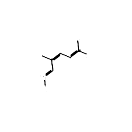 CC(=C/C=C(\C)Cl)/C=N/O